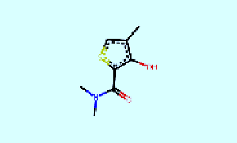 Cc1csc(C(=O)N(C)C)c1O